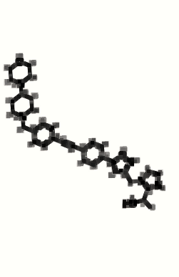 CC(O)c1nccn1Cc1cc(-c2ccc(C#Cc3ccc(CN4CCC(N5CCOCC5)CC4)cc3)cc2)on1